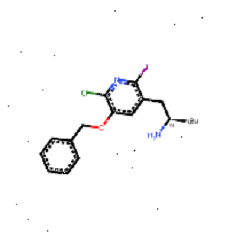 CC(C)(C)[C@@H](N)Cc1cc(OCc2ccccc2)c(Cl)nc1I